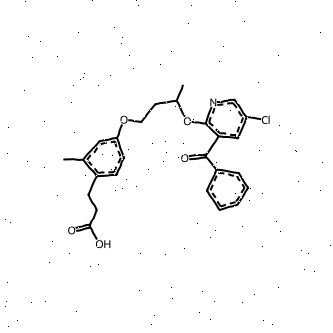 Cc1cc(OCCC(C)Oc2ncc(Cl)cc2C(=O)c2ccccc2)ccc1CCC(=O)O